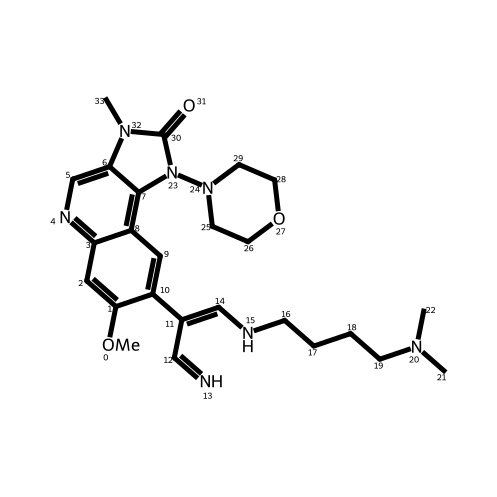 COc1cc2ncc3c(c2cc1/C(C=N)=C/NCCCCN(C)C)n(N1CCOCC1)c(=O)n3C